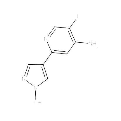 Cn1cc(-c2cc(N)c(F)cn2)cn1